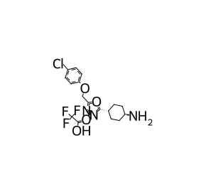 N[C@H]1CC[C@H](c2nnc(COc3ccc(Cl)cc3)o2)CC1.O=C(O)C(F)(F)F